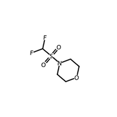 O=S(=O)(C(F)F)N1CCOCC1